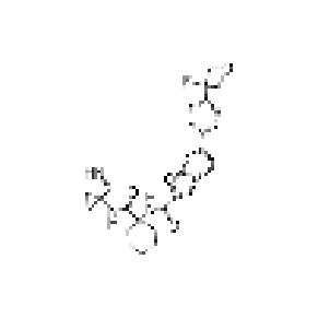 N=CC1(NC(=O)C2(NC(=O)c3cc4ccc(-c5ccc(C6(F)COC6)cc5)cc4o3)CCCCC2)CC1